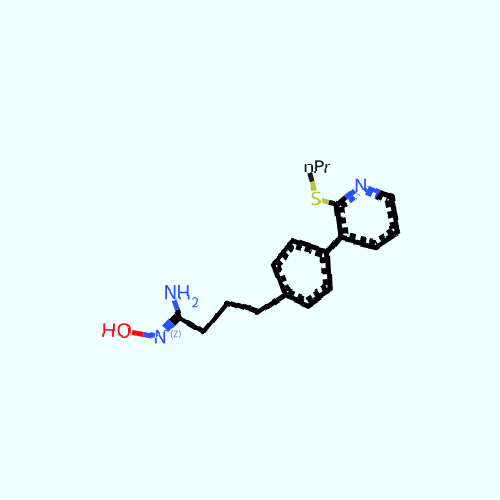 CCCSc1ncccc1-c1ccc(CCC/C(N)=N/O)cc1